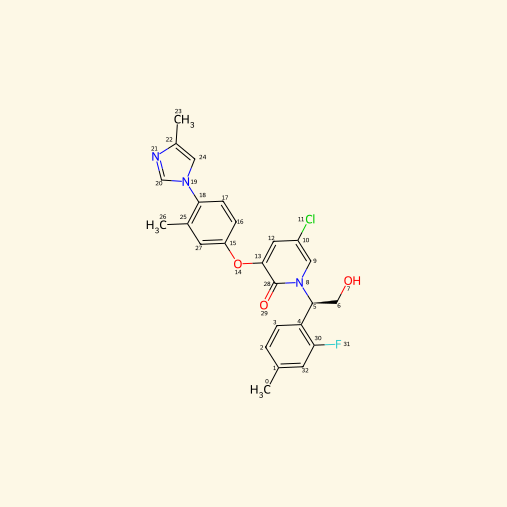 Cc1ccc([C@H](CO)n2cc(Cl)cc(Oc3ccc(-n4cnc(C)c4)c(C)c3)c2=O)c(F)c1